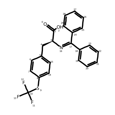 O=C(O)[C@H](Cc1ccc(SC(F)(F)F)cc1)N=C(c1ccccc1)c1ccccc1